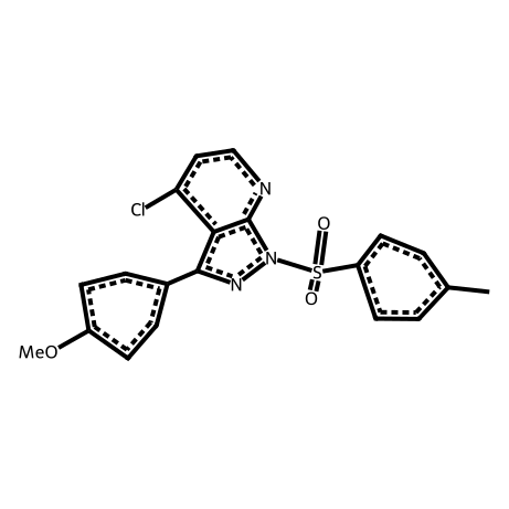 COc1ccc(-c2nn(S(=O)(=O)c3ccc(C)cc3)c3nccc(Cl)c23)cc1